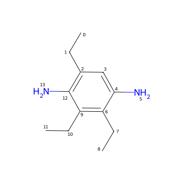 CCc1cc(N)c(CC)c(CC)c1N